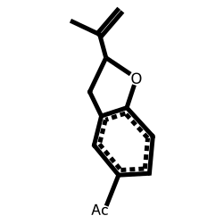 C=C(C)C1Cc2cc(C(C)=O)ccc2O1